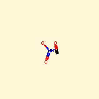 C=O.O=[NH+][O-]